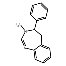 CN1C=Nc2ccccc2CC1c1ccccc1